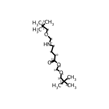 CC(C)(C)COCNCCCC(=O)OCOCC(C)(C)C